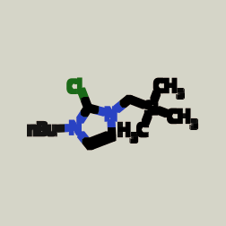 CCCCN1C=CN(C[Si](C)(C)C)C1Cl